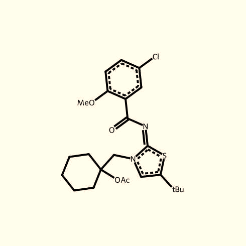 COc1ccc(Cl)cc1C(=O)N=c1sc(C(C)(C)C)cn1CC1(OC(C)=O)CCCCC1